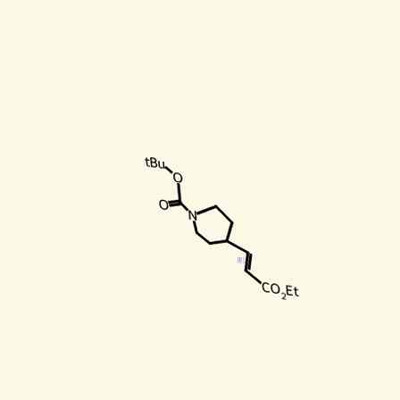 CCOC(=O)/C=C/C1CCN(C(=O)OC(C)(C)C)CC1